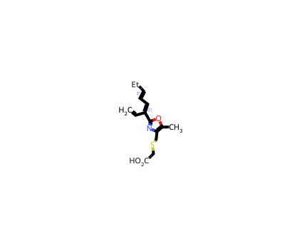 C=C/C(=C\C=C\CC)c1nc(CSCC(=O)O)c(C)o1